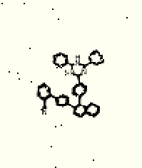 N#Cc1ccccc1-c1ccc(-c2ccc3ccccc3c2-c2ccc(C3N=C(c4ccccc4)NC(c4ccccc4)N3)cc2)cc1